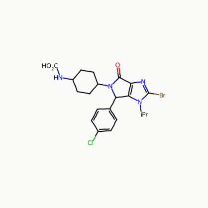 CC(C)n1c(Br)nc2c1C(c1ccc(Cl)cc1)N(C1CCC(NC(=O)O)CC1)C2=O